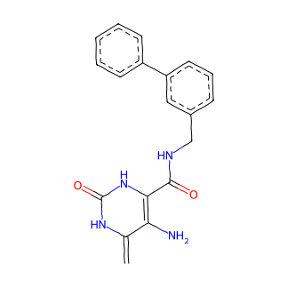 C=C1NC(=O)NC(C(=O)NCc2cccc(-c3ccccc3)c2)=C1N